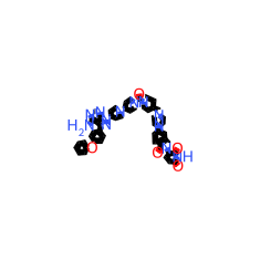 Nc1ncnc2c1c(-c1ccc(Oc3ccccc3)cc1)nn2C1CCN(C2CCN(C(=O)N3CCC(CN4CCN(c5ccc6c(c5)CN(C5CCC(=O)NC5=O)C6=O)CC4)CC3)CC2)CC1